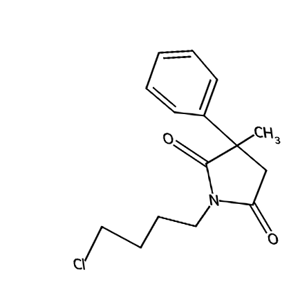 CC1(c2ccccc2)CC(=O)N(CCCCCl)C1=O